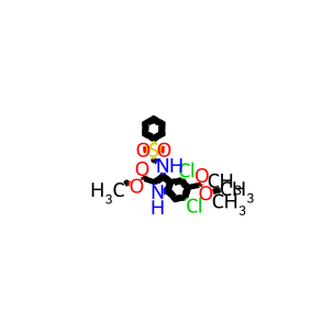 CCOC(=O)c1[nH]c2cc(Cl)c(C(=O)OC(C)(C)C)c(Cl)c2c1NCS(=O)(=O)c1ccccc1